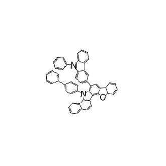 C1=CC2Oc3c(cc(-c4ccc5c(c4)c4ccccc4n5-c4ccccc4)c4c3c3ccc5ccccc5c3n4-c3ccc(-c4ccccc4)cc3)C2C=C1